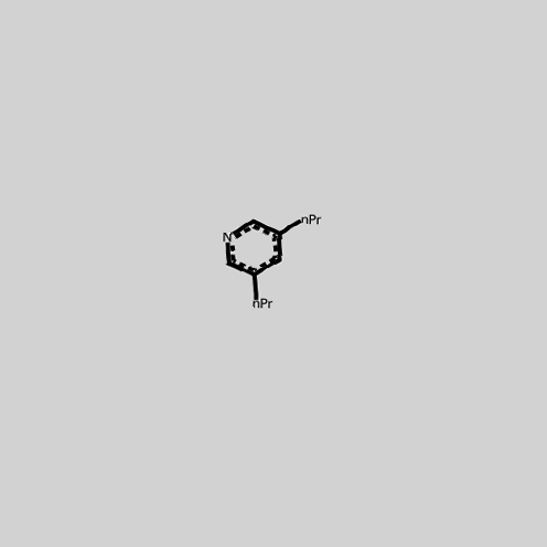 CCCc1cncc(CCC)c1